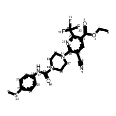 CCOC(=O)c1cc(C#N)c(N2CCN(C(=O)Nc3ccc(SC)cc3)CC2)nc1C(F)(F)F